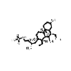 CC[C@@H]1C2C[C@H](O)CCC2(C)[C@H]2CC[C@]3(C)[C@@H]([C@H](C)CCNS(=O)(=O)O)CC[C@H]3C2[C@@H]1O